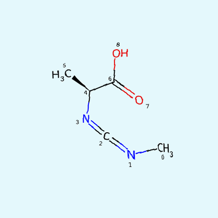 CN=C=N[C@@H](C)C(=O)O